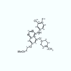 COCCOc1cc(OC2CCN(C)CC2)c2c(Nc3ccc(F)c(Cl)c3)ncnc2c1